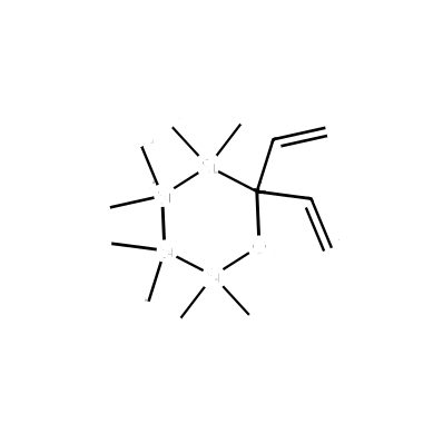 C=CC1(C=C)O[Si](C)(C)[Si](C)(C)[Si](C)(C)[Si]1(C)C